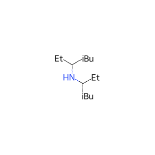 CCC(C)C(CC)NC(CC)C(C)CC